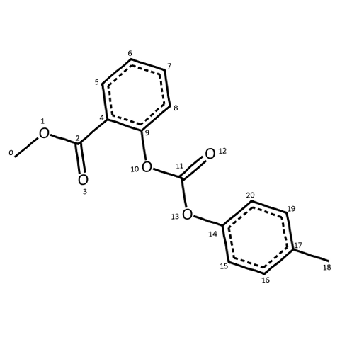 COC(=O)c1ccccc1OC(=O)Oc1ccc(C)cc1